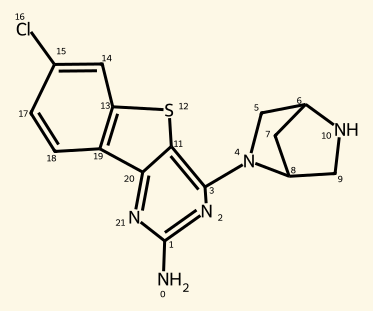 Nc1nc(N2CC3CC2CN3)c2sc3cc(Cl)ccc3c2n1